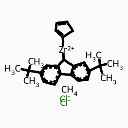 C.CC(C)(C)c1ccc2c(c1)[CH]([Zr+2][C]1=CC=CC1)c1cc(C(C)(C)C)ccc1-2.[Cl-].[Cl-]